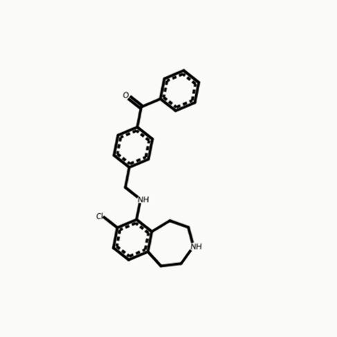 O=C(c1ccccc1)c1ccc(CNc2c(Cl)ccc3c2CCNCC3)cc1